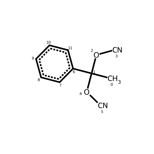 CC(OC#N)(OC#N)c1ccccc1